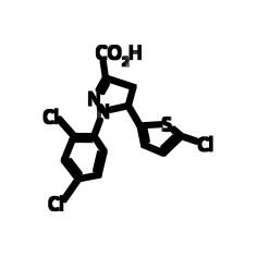 O=C(O)C1=NN(c2ccc(Cl)cc2Cl)C(c2ccc(Cl)s2)C1